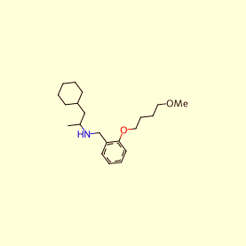 COCCCCOc1ccccc1CNC(C)CC1CCCCC1